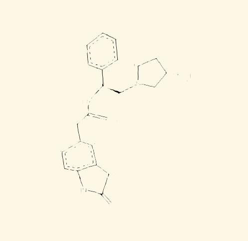 O=C1Cc2cc(CC(=O)N[C@H](CN3CC[C@H](O)C3)c3ccccc3)ccc2N1